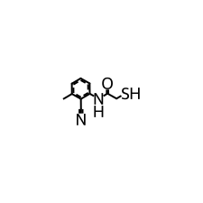 Cc1cccc(NC(=O)CS)c1C#N